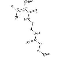 CSCCC(=O)NCCNC(=O)[C@@H](NC(C)=O)[C@@H](C)O